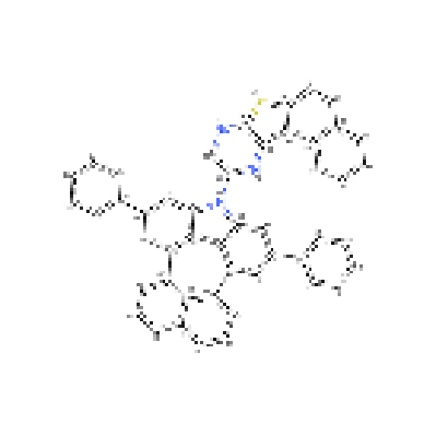 c1ccc(-c2cc3c4c5c(cc(-c6ccccc6)cc5n(-c5cnc6sc7ccc8ccccc8c7c6n5)c4c2)-c2cccc4cccc-3c24)cc1